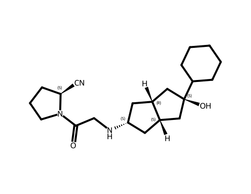 N#C[C@@H]1CCCN1C(=O)CN[C@@H]1C[C@@H]2C[C@](O)(C3CCCCC3)C[C@@H]2C1